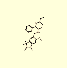 CCC1CCC(NCc2cc3c(cc2OC)N(C)C(=O)C3(C)C)C(c2ccccc2)N1